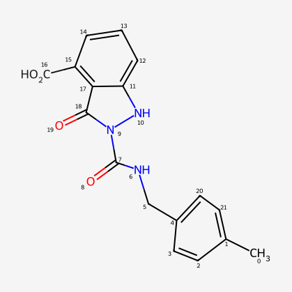 Cc1ccc(CNC(=O)n2[nH]c3cccc(C(=O)O)c3c2=O)cc1